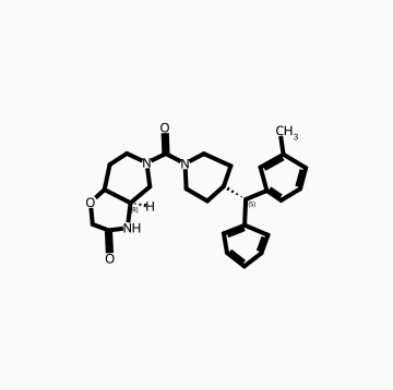 Cc1cccc([C@H](c2ccccc2)C2CCN(C(=O)N3CCC4OCC(=O)N[C@@H]4C3)CC2)c1